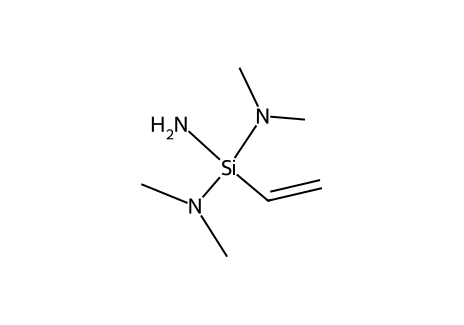 C=C[Si](N)(N(C)C)N(C)C